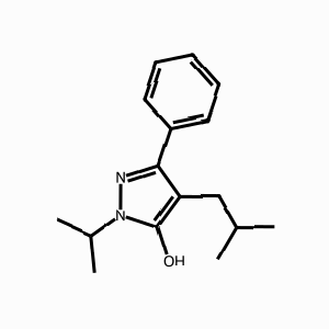 CC(C)Cc1c(-c2ccccc2)nn(C(C)C)c1O